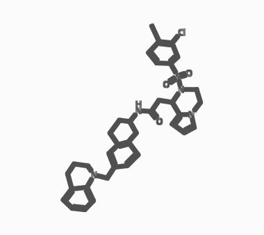 Cc1ccc(S(=O)(=O)N2CCn3cccc3C2CC(=O)NC2CCc3cc(CN4CCCc5ccccc54)ccc3C2)cc1Cl